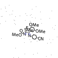 COC(=O)/N=C(SC)/C(=N/c1ccc(C#N)cc1)c1cc(OC)cc(OC)c1F